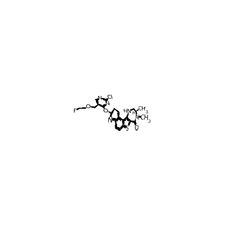 C[C@@H]1CNc2c(sc3ccc4c(c23)=CC[C@H](Oc2nc(Cl)ncc2COCCF)N=4)C(=O)N1C